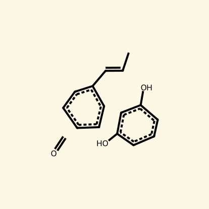 C=O.CC=Cc1ccccc1.Oc1cccc(O)c1